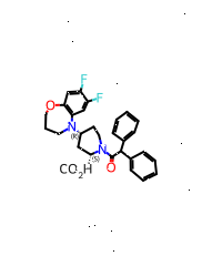 O=C(O)[C@@H]1C[C@H](N2CCCOc3cc(F)c(F)cc32)CCN1C(=O)C(c1ccccc1)c1ccccc1